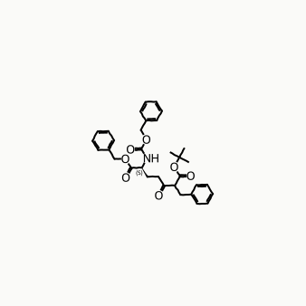 CC(C)(C)OC(=O)C(Cc1ccccc1)C(=O)CC[C@H](NC(=O)OCc1ccccc1)C(=O)OCc1ccccc1